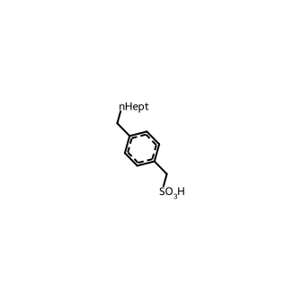 CCCCCCCCc1ccc(CS(=O)(=O)O)cc1